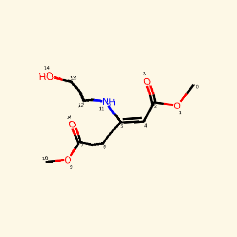 COC(=O)C=C(CC(=O)OC)NCCO